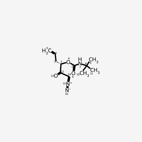 C=CC[C@H](OC(=O)NC(C)(C)C)C(=O)C=[N+]=[N-]